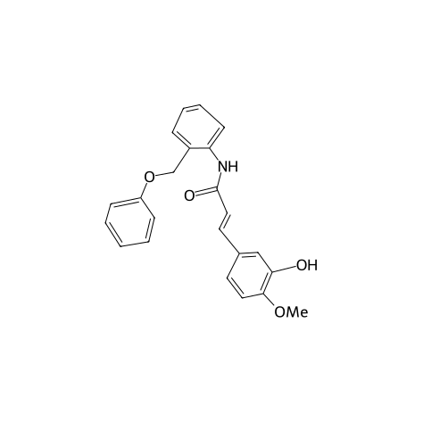 COc1ccc(/C=C/C(=O)Nc2ccccc2COc2ccccc2)cc1O